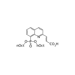 CCCCCCCCOP(=O)(OCCCCCCCC)c1cccc2ccc(C=CC(=O)O)nc12